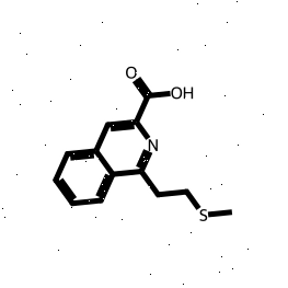 CSCCc1nc(C(=O)O)cc2ccccc12